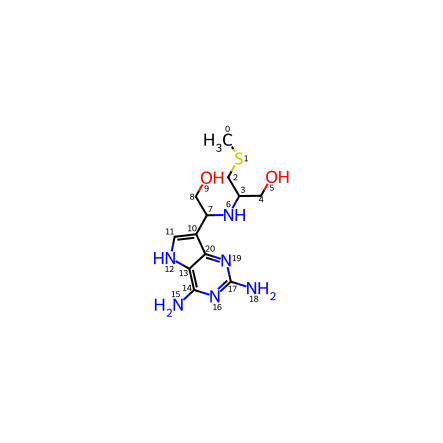 CSCC(CO)NC(CO)c1c[nH]c2c(N)nc(N)nc12